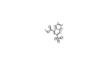 COC(=O)c1cc(S(=O)(=O)Cl)cc2ccccc12